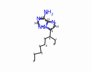 CCCCCCC(CC)c1cnc2c(N)ncnn12